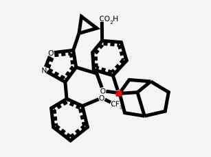 O=C(O)c1ccc(SC2C3CCC2CC(OCc2c(-c4ccccc4OC(F)(F)F)noc2C2CC2)C3)cc1